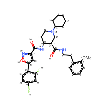 COc1ccccc1CCNC(=O)[C@@H]1CN(C2CCCCC2)CC[C@H]1NC(=O)c1cc(-c2ccc(F)cc2F)on1